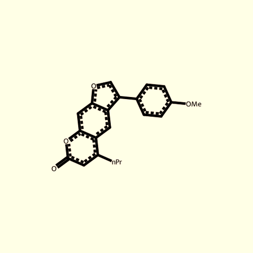 CCCc1cc(=O)oc2cc3occ(-c4ccc(OC)cc4)c3cc12